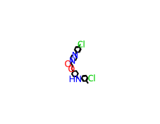 Cc1cc(NC2CCC(OCC(=O)N3CCN(c4ccc(Cl)cc4)CC3)CC2)ccc1Cl